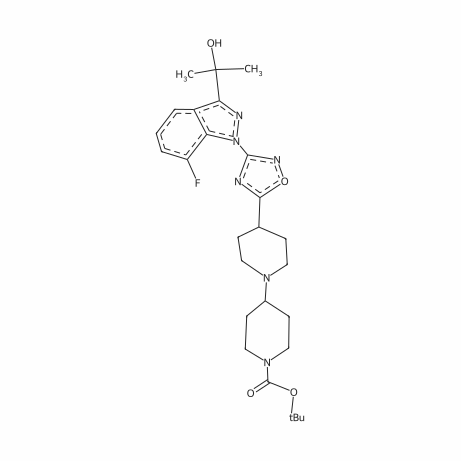 CC(C)(C)OC(=O)N1CCC(N2CCC(c3nc(-n4nc(C(C)(C)O)c5cccc(F)c54)no3)CC2)CC1